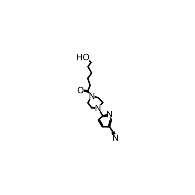 N#Cc1ccc(N2CCN(C(=O)CCCCCO)CC2)nc1